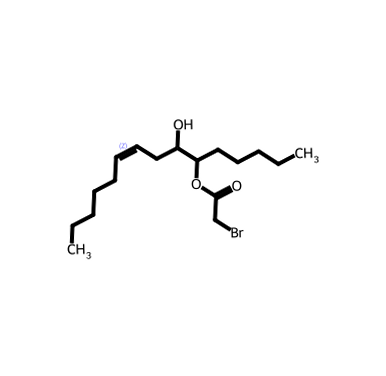 CCCCC/C=C\CC(O)C(CCCCC)OC(=O)CBr